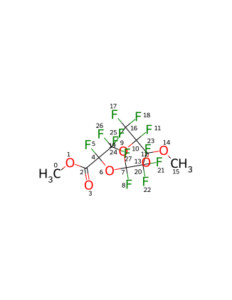 COC(=O)C(F)(OC(F)(OC(F)(C(=O)OC)C(F)(F)F)C(F)(F)F)C(F)(F)F